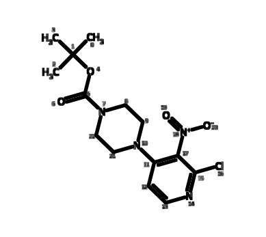 CC(C)(C)OC(=O)N1CCN(c2ccnc(Cl)c2[N+](=O)[O-])CC1